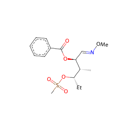 CC[C@H](OS(C)(=O)=O)[C@@H](C)[C@H](C=NOC)OC(=O)c1ccccc1